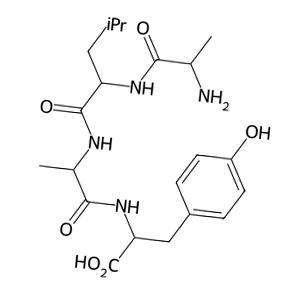 CC(C)CC(NC(=O)C(C)N)C(=O)NC(C)C(=O)NC(Cc1ccc(O)cc1)C(=O)O